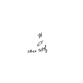 [Cr].[Mo].[SiH4].[W]